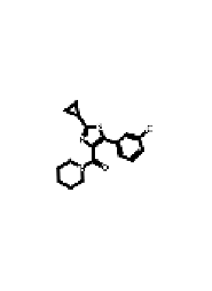 O=C(c1nc(C2CC2)sc1-c1cccc(Cl)c1)N1[CH]CCCC1